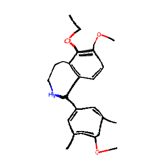 CCOc1c(OC)ccc2c1CCNC2c1cc(C)c(OC)c(C)c1